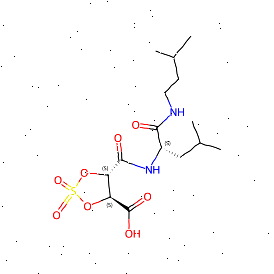 CC(C)CCNC(=O)[C@H](CC(C)C)NC(=O)[C@H]1OS(=O)(=O)O[C@@H]1C(=O)O